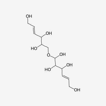 OCC=CC(O)C(O)COC(O)C(O)C(O)C=CCO